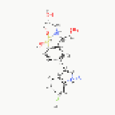 O=S1(=O)c2ccc(-c3c[nH]c4cc(F)ccc34)cc2C(CO)N1CCO